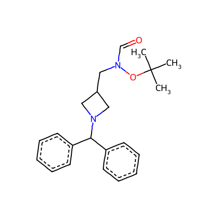 CC(C)(C)ON(C=O)CC1CN(C(c2ccccc2)c2ccccc2)C1